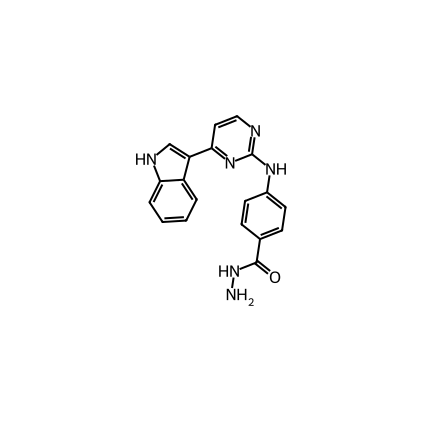 NNC(=O)c1ccc(Nc2nccc(-c3c[nH]c4ccccc34)n2)cc1